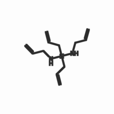 C=CCN[Si](CC=C)(CC=C)NCC=C